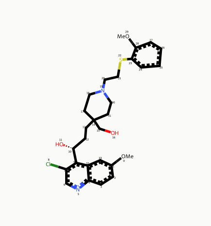 COc1ccc2ncc(Cl)c([C@H](O)CCC3(CO)CCN(CCSc4ccccc4OC)CC3)c2c1